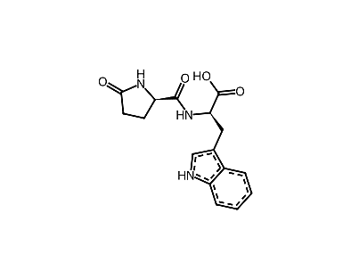 O=C1CC[C@H](C(=O)N[C@H](Cc2c[nH]c3ccccc23)C(=O)O)N1